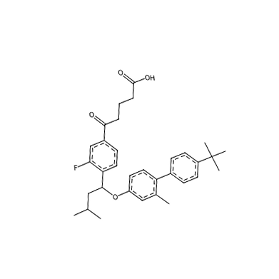 Cc1cc(OC(CC(C)C)c2ccc(C(=O)CCCC(=O)O)cc2F)ccc1-c1ccc(C(C)(C)C)cc1